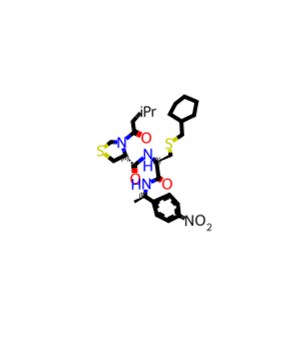 CC(C)CC(=O)N1CSC[C@H]1C(=O)N[C@@H](CSCC1CCCCC1)C(=O)N[C@H](C)c1ccc([N+](=O)[O-])cc1